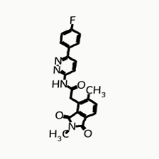 Cc1ccc2c(c1CC(=O)Nc1ccc(-c3ccc(F)cc3)nn1)C(=O)N(C)C2=O